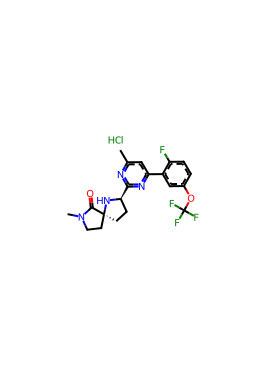 Cc1cc(-c2cc(OC(F)(F)F)ccc2F)nc([C@H]2CC[C@@]3(CCN(C)C3=O)N2)n1.Cl